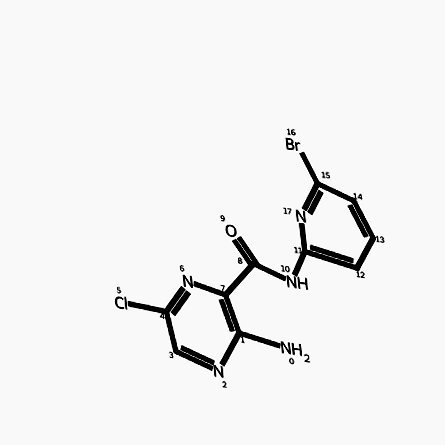 Nc1ncc(Cl)nc1C(=O)Nc1cccc(Br)n1